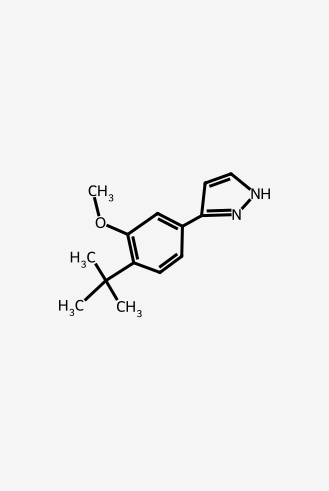 COc1cc(-c2cc[nH]n2)ccc1C(C)(C)C